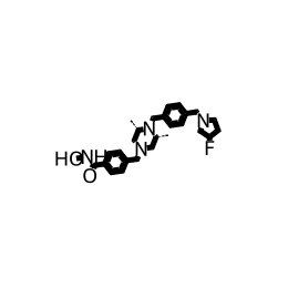 C[C@@H]1CN(Cc2ccc(C(=O)NO)cc2)C[C@H](C)N1Cc1ccc(CN2CCC(F)C2)cc1